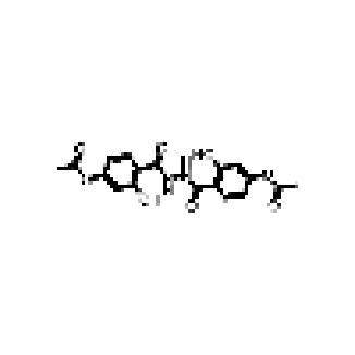 CC(=O)Oc1ccc(C(=O)NNC(=O)c2ccc(OC(C)=O)cc2O)c(O)c1